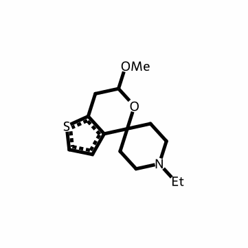 CCN1CCC2(CC1)OC(OC)Cc1sccc12